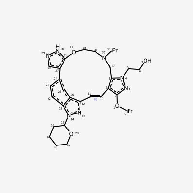 CC(C)Oc1nn(CCO)c2c1/C=C/c1nn(C3CCCCO3)c3ccc(cc13)-c1cn[nH]c1OCCN(C(C)C)C2